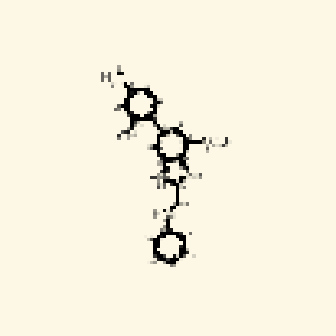 Cc1ccc(-c2cc(C(=O)O)c3nc(CNc4ccccc4)[nH]c3c2)c(Cl)c1